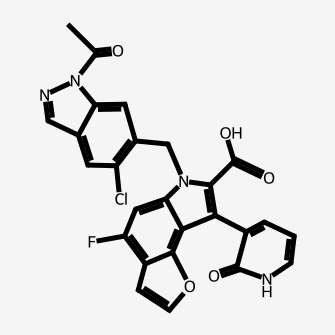 CC(=O)n1ncc2cc(Cl)c(Cn3c(C(=O)O)c(-c4ccc[nH]c4=O)c4c5occc5c(F)cc43)cc21